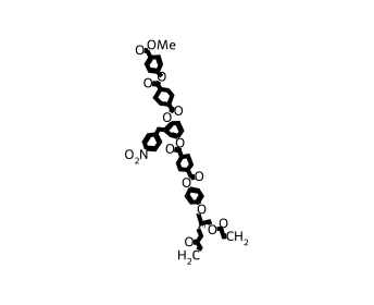 C=CC(=O)CC[C@@H](COC(=O)C=C)COc1ccc(OC(=O)C2CCC(C(=O)Oc3ccc(OC(=O)C4CCC(C(=O)Oc5ccc(C(=O)OC)cc5)CC4)c(Cc4ccc([N+](=O)[O-])cc4)c3)CC2)cc1